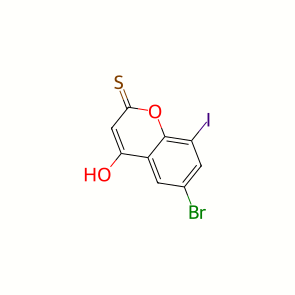 Oc1cc(=S)oc2c(I)cc(Br)cc12